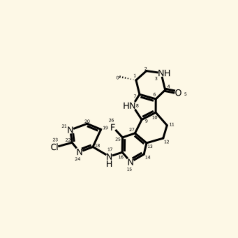 C[C@@H]1CNC(=O)c2c1[nH]c1c2CCc2cnc(Nc3ccnc(Cl)n3)c(F)c2-1